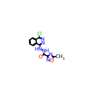 Cc1nc(C(=O)NNc2nnc(Cl)c3ccccc23)no1